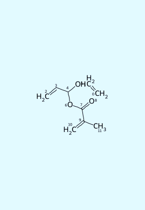 C=C.C=CC(O)OC(=O)C(=C)C